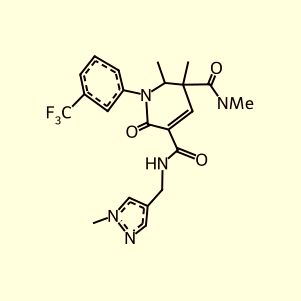 CNC(=O)C1(C)C=C(C(=O)NCc2cnn(C)c2)C(=O)N(c2cccc(C(F)(F)F)c2)C1C